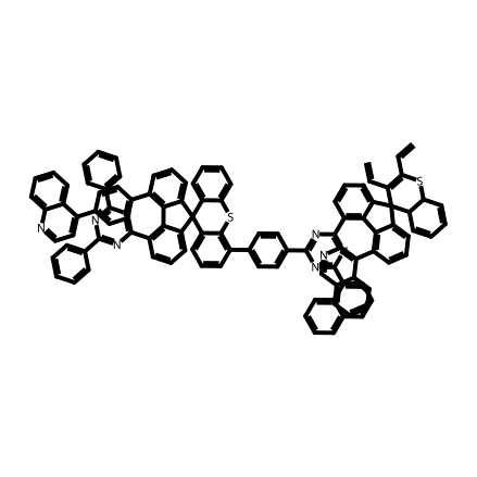 C=CC1=C(C=C)C2(c3cccc(-c4nc(-c5ccc(-c6cccc7c6Sc6ccccc6C76c7cccc(-c8ccc(-c9ccnc%10ccccc9%10)cc8)c7-c7c(-c8nc(-c9ccccc9)nc(-c9ccccc9)n8)cccc76)cc5)nc(-c5cccc6ccccc56)n4)c3-c3c(-c4cncc5ccccc45)cccc32)C2C=CC=CC2S1